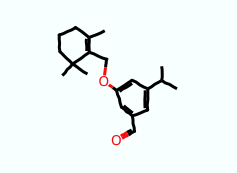 CC1=C(COc2cc(C=O)cc(C(C)C)c2)C(C)(C)CCC1